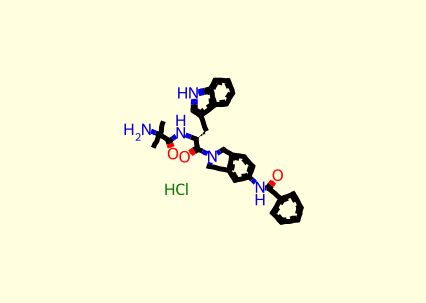 CC(C)(N)C(=O)N[C@H](Cc1c[nH]c2ccccc12)C(=O)N1Cc2ccc(NC(=O)c3ccccc3)cc2C1.Cl